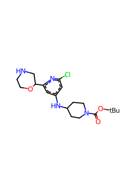 CC(C)(C)OC(=O)N1CCC(Nc2cc(Cl)nc(C3CNCCO3)c2)CC1